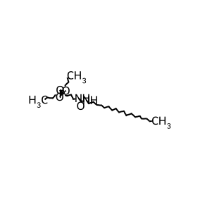 CCCCCCCCCCCCCCCCCCNC(=O)NCCCP(=O)(OCCCC)OCCCC